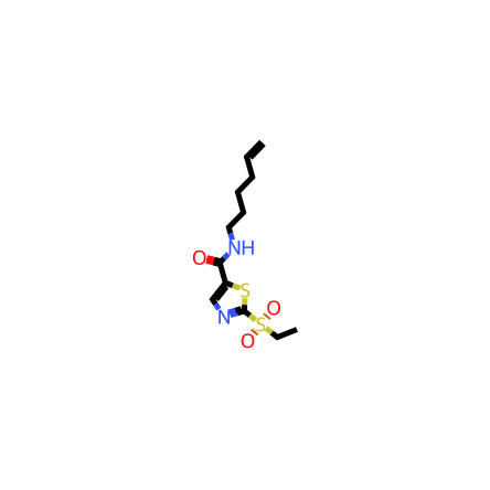 C=CCCCCNC(=O)c1cnc(S(=O)(=O)CC)s1